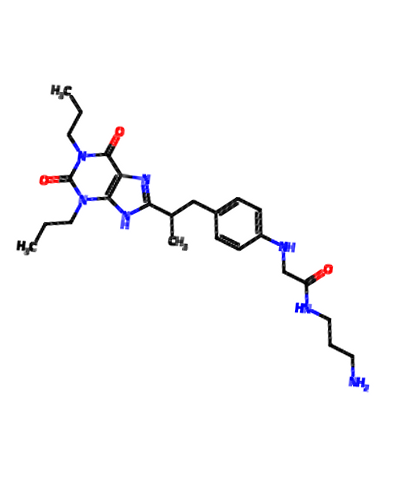 CCCn1c(=O)c2nc(C(C)Cc3ccc(NCC(=O)NCCCN)cc3)[nH]c2n(CCC)c1=O